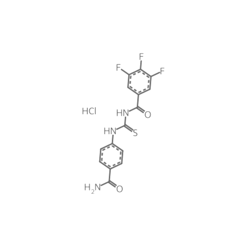 Cl.NC(=O)c1ccc(NC(=S)NC(=O)c2cc(F)c(F)c(F)c2)cc1